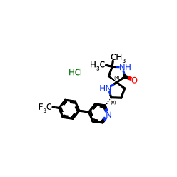 CC1(C)C[C@]2(CC[C@H](c3cc(-c4ccc(C(F)(F)F)cc4)ccn3)N2)C(=O)N1.Cl